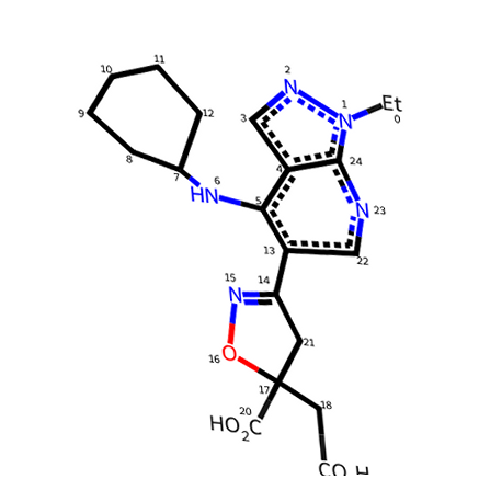 CCn1ncc2c(NC3CCCCC3)c(C3=NOC(CC(=O)O)(C(=O)O)C3)cnc21